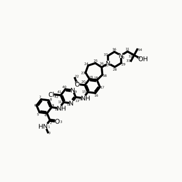 CNC(=O)c1ccccc1Nc1nc(Nc2ccc3c(c2OC)CCCC(N2CCN(CC(C)(C)O)CC2)C3)ncc1Cl